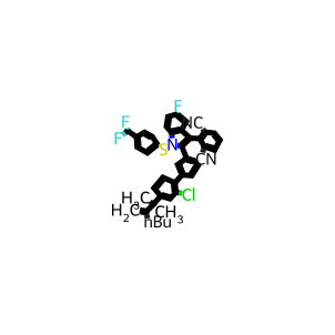 C=C(CCCC)C(C)(C)c1ccc(-c2cccc(-c3c(-c4c(C#N)cccc4C#N)c4cc(F)ccc4n3Sc3ccc(C(F)F)cc3)c2)c(Cl)c1